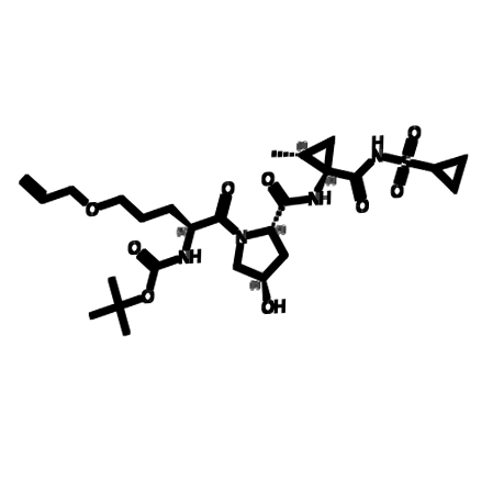 C=CCOCCC[C@H](NC(=O)OC(C)(C)C)C(=O)N1C[C@H](O)C[C@H]1C(=O)N[C@]1(C(=O)NS(=O)(=O)C2CC2)C[C@H]1C